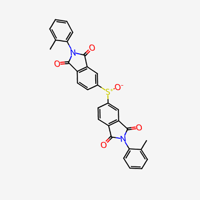 Cc1ccccc1N1C(=O)c2ccc([S+]([O-])c3ccc4c(c3)C(=O)N(c3ccccc3C)C4=O)cc2C1=O